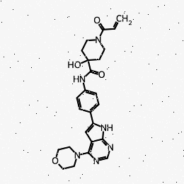 C=CC(=O)N1CCC(O)(C(=O)Nc2ccc(-c3cc4c(N5CCOCC5)ncnc4[nH]3)cc2)CC1